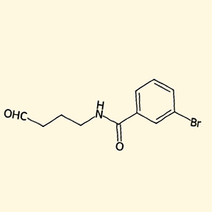 O=CCCCNC(=O)c1cccc(Br)c1